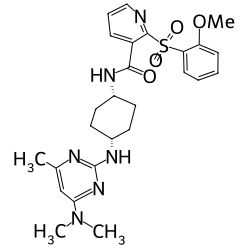 COc1ccccc1S(=O)(=O)c1ncccc1C(=O)N[C@H]1CC[C@@H](Nc2nc(C)cc(N(C)C)n2)CC1